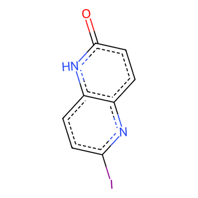 O=c1ccc2nc(I)ccc2[nH]1